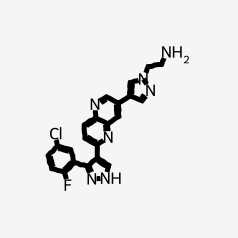 NCCn1cc(-c2cnc3ccc(-c4c[nH]nc4-c4cc(Cl)ccc4F)nc3c2)cn1